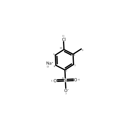 Cc1cc(S(=O)(=O)[O-])ccc1Cl.[Na+]